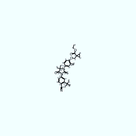 CCOC(=O)C1(COc2ccc(N3C(=S)N(c4ccc(C#N)c(C(F)(F)F)c4)C(=O)C3(C)C)cc2F)CC1